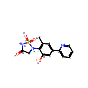 Cc1cc(-c2ccccn2)cc(O)c1N1CC(=O)NS1(=O)=O